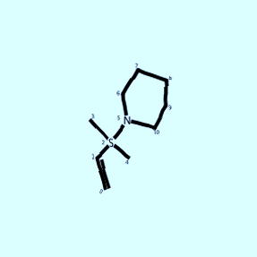 C=CS(C)(C)N1CCCCC1